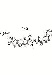 Cl.NCCNC(=O)[C@H]1CC[C@@H](Oc2ccc(C(=O)NCCNC(=O)c3ccc4ccccc4c3)cc2)CC1